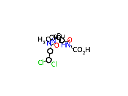 CCCC[C@H](c1ccc(C(=O)NCCC(=O)O)cc1)N1C(=O)C(c2ccc(-c3cc(Cl)cc(Cl)c3)cc2)=NC1(C)C